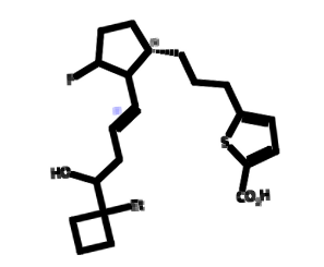 CCC1(C(O)C/C=C/C2C(F)CC[C@@H]2CCCc2ccc(C(=O)O)s2)CCC1